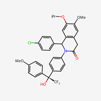 COc1ccc([C@@](O)(c2ccc(N3C(=O)Cc4cc(OC)c(OC(C)C)cc4C3c3ccc(Cl)cc3)cc2)C(F)(F)F)cc1